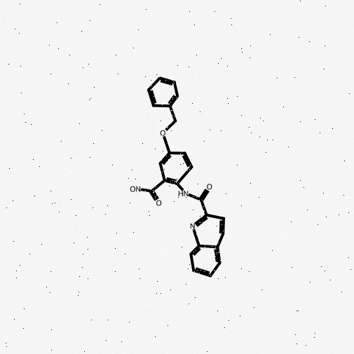 O=NC(=O)c1cc(OCc2ccccc2)ccc1NC(=O)c1ccc2ccccc2n1